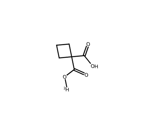 [2H]OC(=O)C1(C(=O)O)CCC1